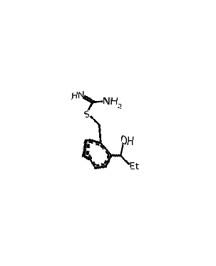 CCC(O)c1ccccc1CSC(=N)N